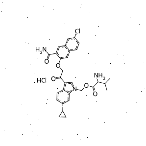 CC(C)C(N)C(=O)OCn1cc(C(=O)COc2cc3ccc(Cl)cc3cc2C(N)=O)c2ccc(C3CC3)cc21.Cl